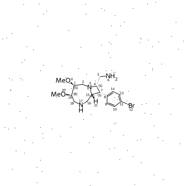 CO[C@H]1CN2[C@H](CN)[C@H](c3ccc(Br)cc3)[C@@H]2CNC[C@H]1OC